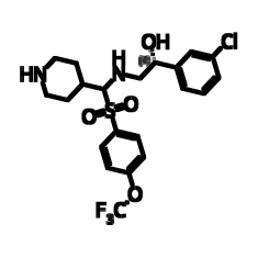 O=S(=O)(c1ccc(OC(F)(F)F)cc1)C(NC[C@H](O)c1cccc(Cl)c1)C1CCNCC1